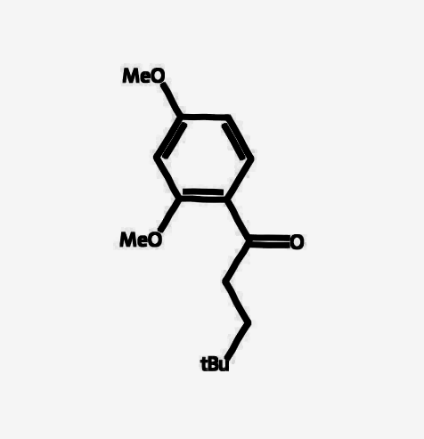 COc1ccc(C(=O)CCC(C)(C)C)c(OC)c1